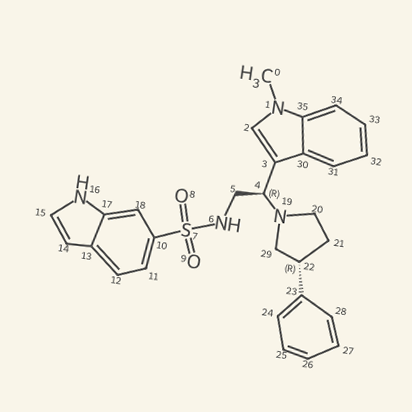 Cn1cc([C@H](CNS(=O)(=O)c2ccc3cc[nH]c3c2)N2CC[C@H](c3ccccc3)C2)c2ccccc21